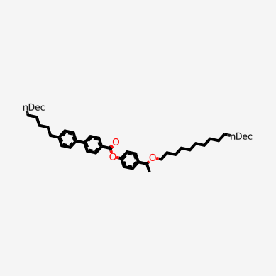 CCCCCCCCCCCCCCCCCCCCOC(C)c1ccc(OC(=O)c2ccc(-c3ccc(CCCCCCCCCCCCCCC)cc3)cc2)cc1